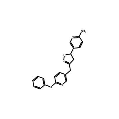 Nc1ccc(C2CC(Cc3ccc(Oc4ccccc4)nc3)=NO2)cn1